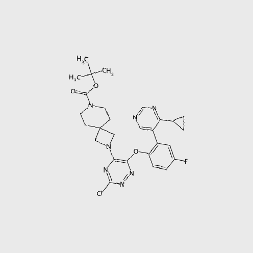 CC(C)(C)OC(=O)N1CCC2(CC1)CN(c1nc(Cl)nnc1Oc1ccc(F)cc1-c1cncnc1C1CC1)C2